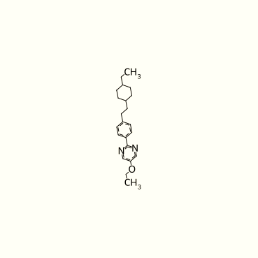 CCOc1cnc(-c2ccc(CCC3CCC(CC)CC3)cc2)nc1